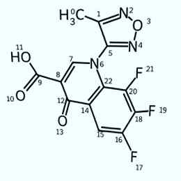 Cc1nonc1-n1cc(C(=O)O)c(=O)c2cc(F)c(F)c(F)c21